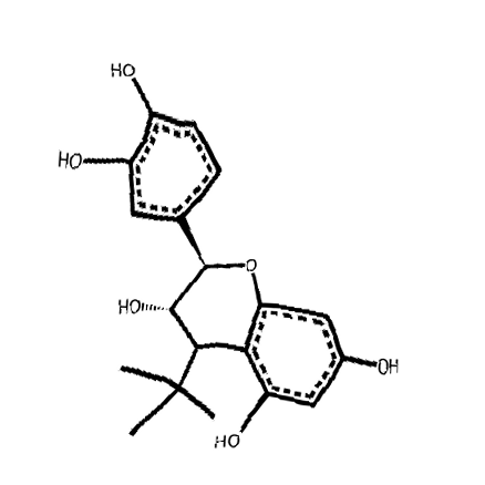 CC(C)(C)C1c2c(O)cc(O)cc2O[C@H](c2ccc(O)c(O)c2)[C@H]1O